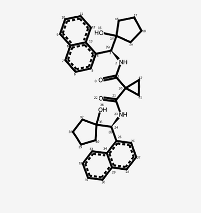 O=C(N[C@@H](c1cccc2ccccc12)C1(O)CCCC1)C1(C(=O)N[C@@H](c2cccc3ccccc23)C2(O)CCCC2)CC1